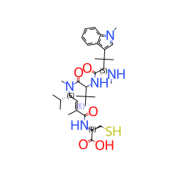 CN[C@H](C(=O)NC(C(=O)N(C)[C@H](/C=C(\C)C(=O)N[C@@H](CS)C(=O)O)C(C)C)C(C)(C)C)C(C)(C)c1cn(C)c2ccccc12